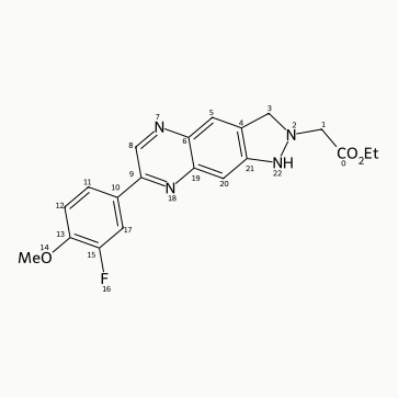 CCOC(=O)CN1Cc2cc3ncc(-c4ccc(OC)c(F)c4)nc3cc2N1